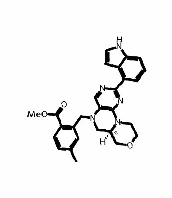 COC(=O)c1ccc(C)cc1CN1C[C@@H]2COCCN2c2nc(-c3cccc4[nH]ccc34)ncc21